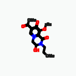 CCCCOc1c2n(cc(C(=O)OC)c1=O)CC(O)N(CCOC)C2=O